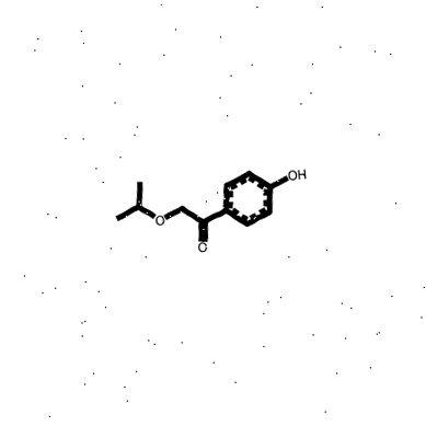 CC(C)OCC(=O)c1ccc(O)cc1